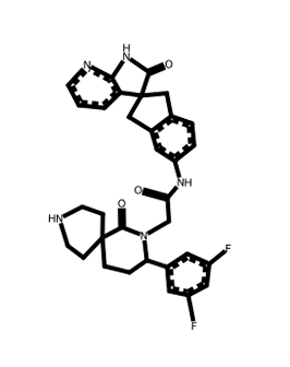 O=C(CN1C(=O)C2(CCNCC2)CCC1c1cc(F)cc(F)c1)Nc1ccc2c(c1)CC1(C2)C(=O)Nc2ncccc21